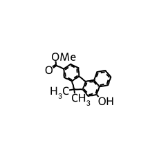 COC(=O)c1ccc2c(c1)C(C)(C)c1cc(O)c3ccccc3c1-2